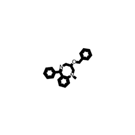 CN1CC(OCc2ccccc2)CN=C(c2ccccc2)c2ccccc21